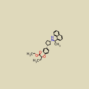 CCOC(=O)C(CC)Oc1ccc([C@@H]2CC[C@H](NC(C)c3cccc4ccccc34)C2)cc1